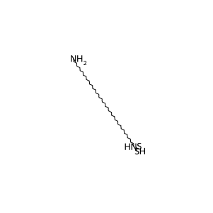 NCCCCCCCCCCCCCCCCCCCCCCCCCCCCCCCCCCCCCCNC(=S)S